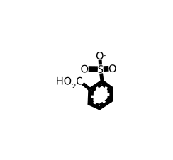 [O]S(=O)(=O)c1ccccc1C(=O)O